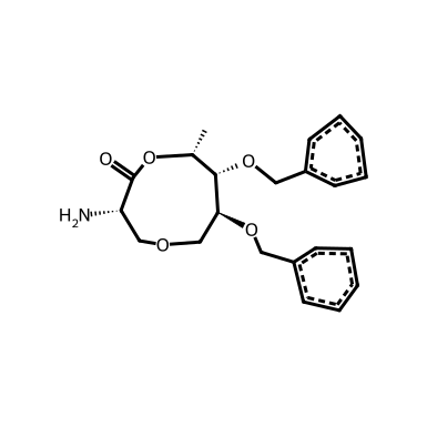 C[C@H]1OC(=O)[C@@H](N)COC[C@H](OCc2ccccc2)[C@H]1OCc1ccccc1